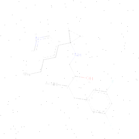 CC(=O)NC(Cc1cc(F)cc(F)c1)C(O)CNC1(c2cncc(CC(C)(C)C)c2)CC1